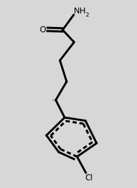 NC(=O)CCC[CH]c1ccc(Cl)cc1